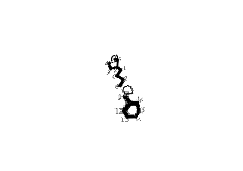 C(=CC1CCOC1)CCOCc1ccccc1